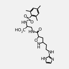 Cc1cc(C)c(S(=O)(=O)NC(CNC(=O)C2CC(CCNc3ncc[nH]3)NO2)C(=O)O)c(C)c1